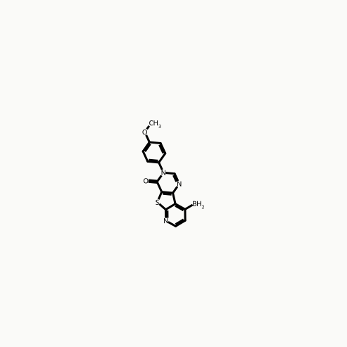 Bc1ccnc2sc3c(=O)n(-c4ccc(OC)cc4)cnc3c12